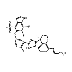 C[C@]1(c2c[nH]c(-c3cc(Oc4c(F)c(F)c5[nH]ccc5c4S(C)(=O)=O)ccc3F)n2)CCOc2c(/C=C/C(=O)O)cccc21